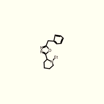 CCN1CCCCC1c1nnc(Cc2ccccc2)o1